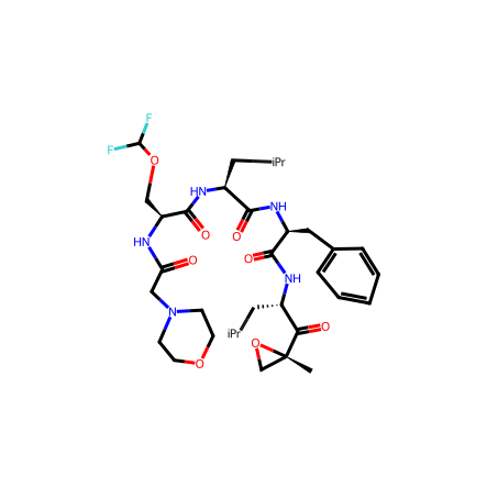 CC(C)C[C@H](NC(=O)[C@H](COC(F)F)NC(=O)CN1CCOCC1)C(=O)N[C@@H](Cc1ccccc1)C(=O)N[C@@H](CC(C)C)C(=O)[C@]1(C)CO1